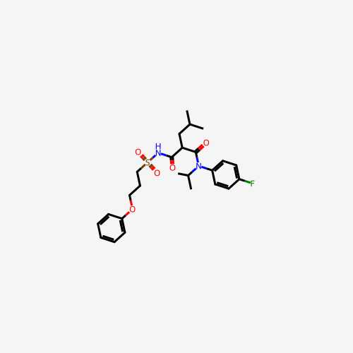 CC(C)CC(C(=O)NS(=O)(=O)CCCOc1ccccc1)C(=O)N(c1ccc(F)cc1)C(C)C